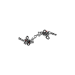 CO[SiH](C)O[Si](O[Si](C)(O)CCOCC1CCC(COCC[Si](O)(OC)O[Si](O[Si](C)(C)OC)(c2ccccc2)c2ccccc2)CC1)(c1ccccc1)c1ccccc1